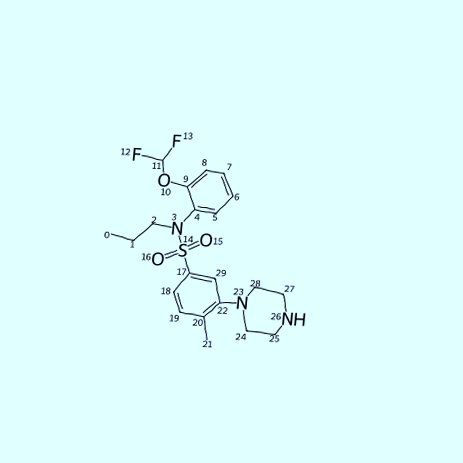 CCCN(c1ccccc1OC(F)F)S(=O)(=O)c1ccc(C)c(N2CCNCC2)c1